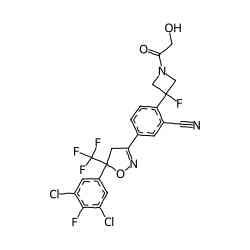 N#Cc1cc(C2=NOC(c3cc(Cl)c(F)c(Cl)c3)(C(F)(F)F)C2)ccc1C1(F)CN(C(=O)CO)C1